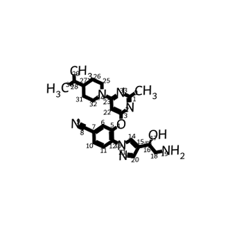 Cc1nc(Oc2cc(C#N)ccc2-n2cc([C@@H](O)CN)cn2)cc(N2CCC(C(C)C)CC2)n1